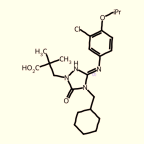 CC(C)Oc1ccc(/N=c2\[nH]n(CC(C)(C)C(=O)O)c(=O)n2CC2CCCCC2)cc1Cl